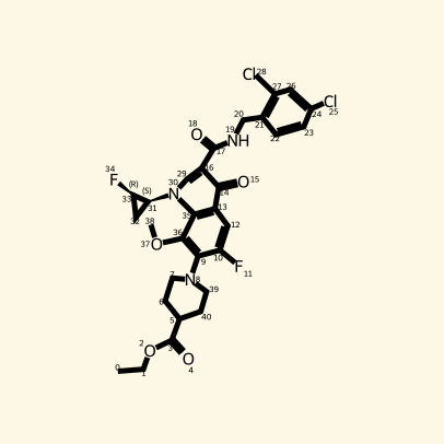 CCOC(=O)C1CCN(c2c(F)cc3c(=O)c(C(=O)NCc4ccc(Cl)cc4Cl)cn([C@H]4C[C@H]4F)c3c2OC)CC1